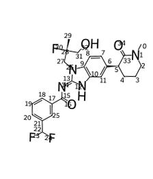 CN1CCC[C@@H](c2ccc3c(c2)[nH]/c(=N\C(=O)c2cccc(C(F)F)c2)n3C[C@](C)(F)CO)C1=O